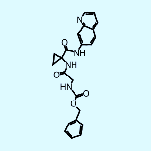 O=C(CNC(=O)OCc1ccccc1)NC1(C(=O)Nc2ccc3cccnc3c2)CC1